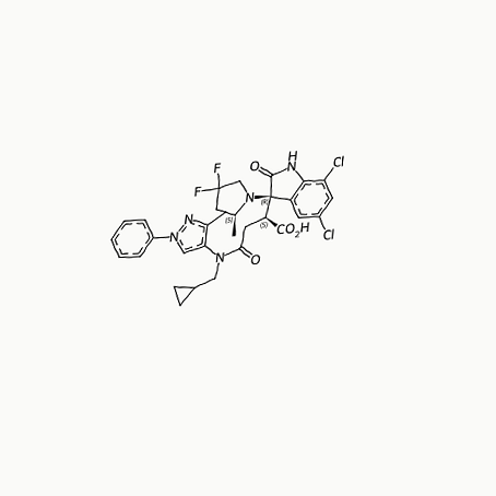 Cc1nn(-c2ccccc2)cc1N(CC1CC1)C(=O)C[C@H](C(=O)O)[C@]1(N2CC(F)(F)C[C@@H]2C)C(=O)Nc2c(Cl)cc(Cl)cc21